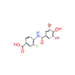 O=C(O)c1ccc(NC(=O)c2cc(Br)c(O)c(Br)c2)c(F)c1